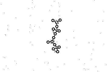 c1ccc(-c2cc(-c3ccc(-n4c5c(c6ccccc64)-c4ccc(-c6ccc(-c7cc(-c8ccccc8)nc(-c8ccc(-n9c%10c(c%11ccccc%119)-c9ccccc9Sc9ccccc9-%10)cc8)n7)cc6)cc4Sc4ccccc4-5)cc3)nc(-c3ccccc3)n2)cc1